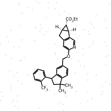 CCOC(=O)[C@H]1[C@@H]2Cc3cc(OCc4ccc5c(c4)C(c4ccccc4C(F)(F)F)CC5(C)C)ncc3[C@@H]21